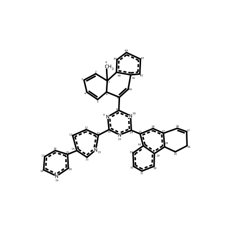 CC12C=CC=CC1C(c1nc(-c3ccc(-c4cccnc4)cn3)nc(-c3cc4c(c5ccccc35)CCC=C4)n1)=Cc1ccccc12